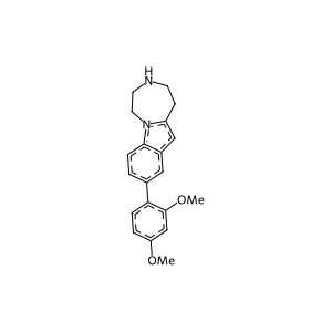 COc1ccc(-c2ccc3c(c2)cc2n3CCNCC2)c(OC)c1